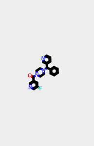 O=C(c1cncc(F)c1)N1CCN(C(c2ccccc2)c2cccnc2)CC1